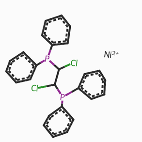 ClC(C(Cl)P(c1ccccc1)c1ccccc1)P(c1ccccc1)c1ccccc1.[Ni+2]